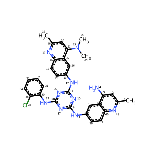 Cc1cc(N)c2cc(Nc3nc(Nc4ccc5nc(C)cc(N(C)C)c5c4)nc(Nc4ccccc4Cl)n3)ccc2n1